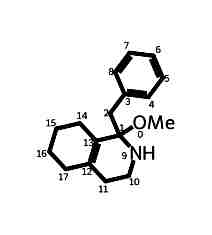 COC1(Cc2ccccc2)NCCC2=C1CCCC2